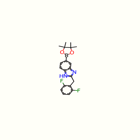 CC1(C)OB(c2ccc3[nH]c(Cc4c(F)cccc4F)nc3c2)OC1(C)C